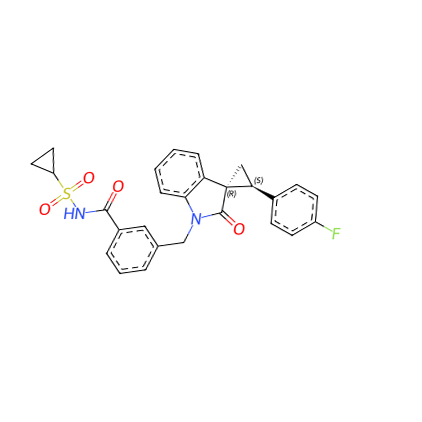 O=C(NS(=O)(=O)C1CC1)c1cccc(CN2C(=O)[C@@]3(C[C@H]3c3ccc(F)cc3)c3ccccc32)c1